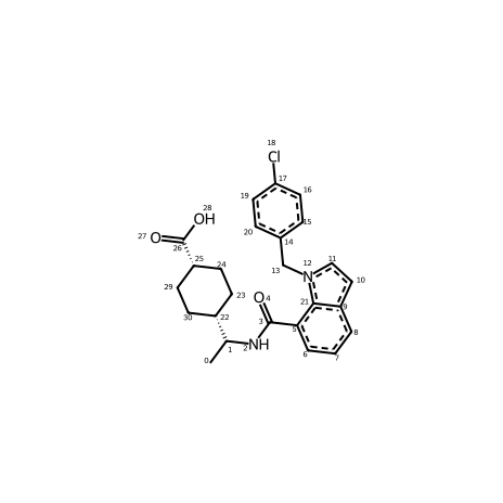 CC(NC(=O)c1cccc2ccn(Cc3ccc(Cl)cc3)c12)[C@H]1CC[C@@H](C(=O)O)CC1